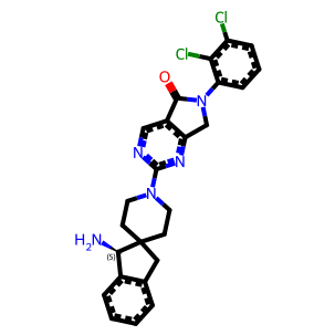 N[C@@H]1c2ccccc2CC12CCN(c1ncc3c(n1)CN(c1cccc(Cl)c1Cl)C3=O)CC2